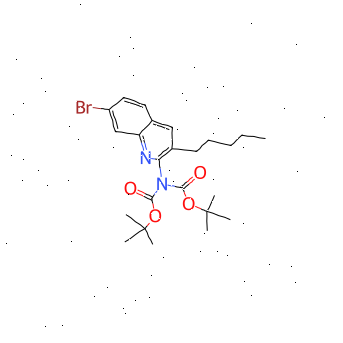 CCCCCc1cc2ccc(Br)cc2nc1N(C(=O)OC(C)(C)C)C(=O)OC(C)(C)C